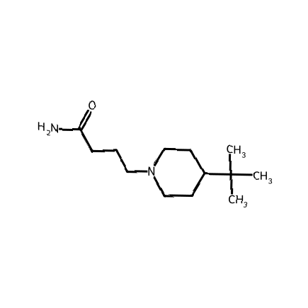 CC(C)(C)C1CCN(CCCC(N)=O)CC1